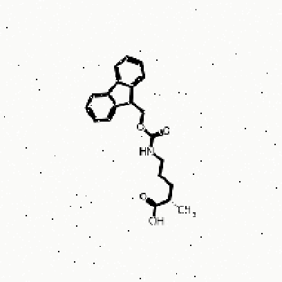 C[C@@H](CCCNC(=O)OCC1c2ccccc2-c2ccccc21)C(=O)O